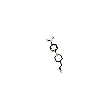 O=CCC1CCN(c2ccc([N+](=O)[O-])cn2)CC1